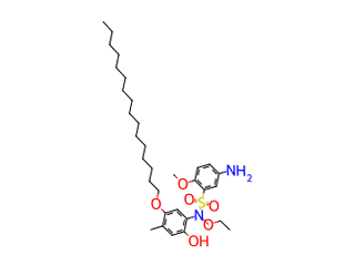 CCCCCCCCCCCCCCCCOc1cc(N(OCC)S(=O)(=O)c2cc(N)ccc2OC)c(O)cc1C